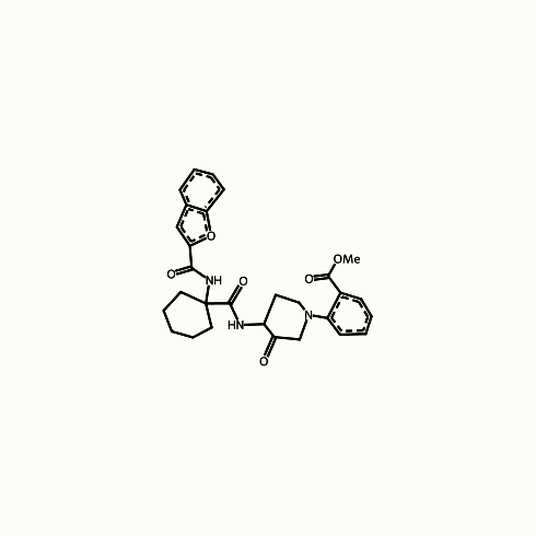 COC(=O)c1ccccc1N1CCC(NC(=O)C2(NC(=O)c3cc4ccccc4o3)CCCCC2)C(=O)C1